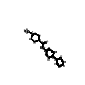 CN1CCC(C(=O)Nc2cnc(-c3ccccn3)nc2)CC1